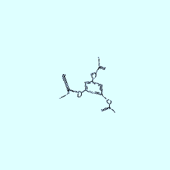 C=C(C)Oc1cc(OC(=C)C)cc(OC(=C)C)c1